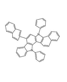 c1ccc(-n2c3cc(-c4ccc5ccccc5c4)c4c5ccccc5n(-c5ccccc5)c4c3c3ccc4ccccc4c32)cc1